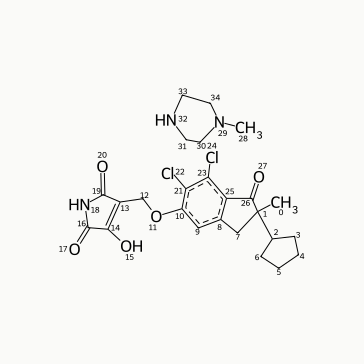 CC1(C2CCCC2)Cc2cc(OCC3=C(O)C(=O)NC3=O)c(Cl)c(Cl)c2C1=O.CN1CCNCC1